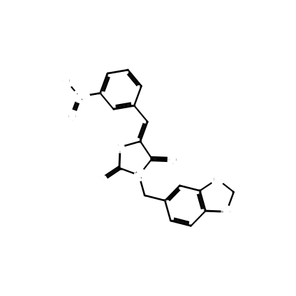 O=C1C(=Cc2cccc([N+](=O)[O-])c2)SC(=S)N1Cc1ccc2c(c1)OCO2